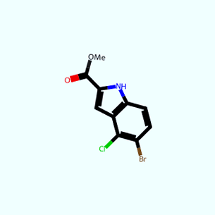 COC(=O)c1cc2c(Cl)c(Br)ccc2[nH]1